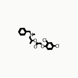 CC(CN(C)Cc1ccccc1)OC(=O)COc1ccc(Cl)cc1Cl